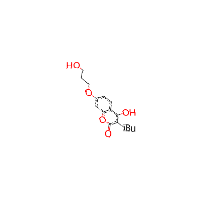 CCC(C)c1c(O)c2ccc(OCCCO)cc2oc1=O